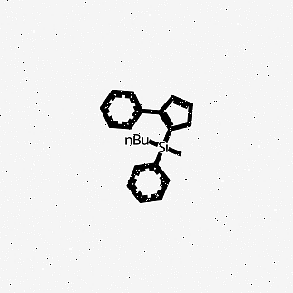 CCCC[Si](C)(C1=C(c2ccccc2)C=CC1)c1ccccc1